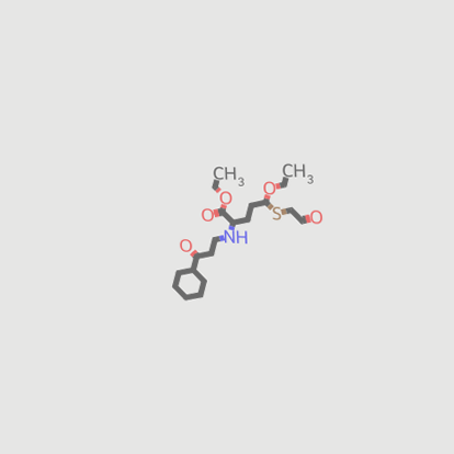 CCOC(=O)C(CCC(OCC)SCC=O)NCCC(=O)C1CCCCC1